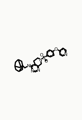 O=S(=O)(c1ccc(Oc2ccncc2)cc1)N1CCc2c(ncnc2NCC23CC4CC(CC(C4)C2)C3)C1